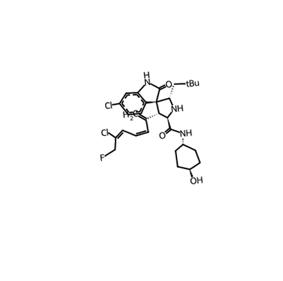 C=C(/C=C\C=C(\Cl)CF)[C@H]1[C@H](C(=O)N[C@H]2CC[C@H](O)CC2)N[C@@H](CC(C)(C)C)[C@@]12C(=O)Nc1cc(Cl)ccc12